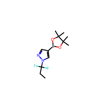 CCC(F)(F)n1cc(B2OC(C)(C)C(C)(C)O2)cn1